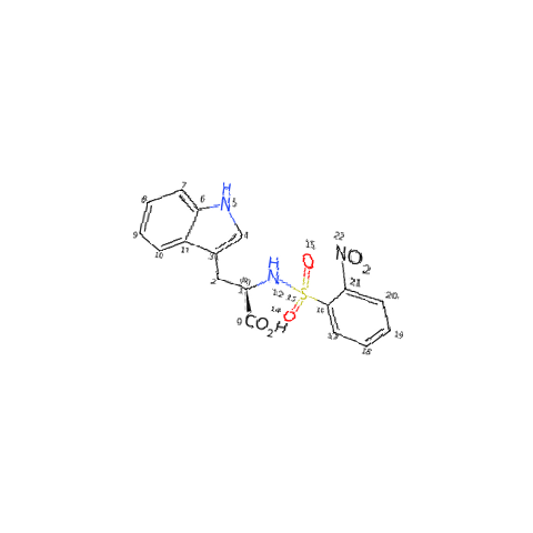 O=C(O)[C@@H](Cc1c[nH]c2ccccc12)NS(=O)(=O)c1ccccc1[N+](=O)[O-]